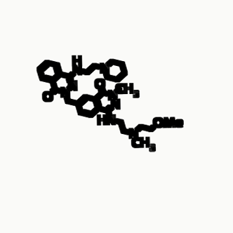 COCCN(C)CCNc1nn(C)c(=O)c2cc(Cn3nc(NCCN4CCCCC4)c4ccccc4c3=O)ccc12